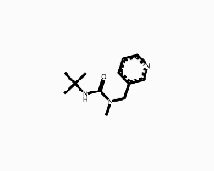 CN(Cc1cccnc1)C(=O)NC(C)(C)C